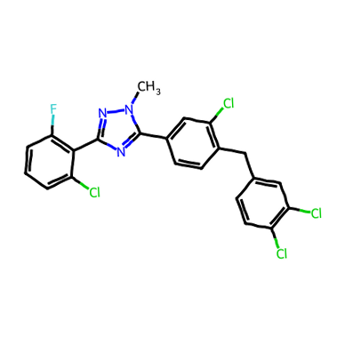 Cn1nc(-c2c(F)cccc2Cl)nc1-c1ccc(Cc2ccc(Cl)c(Cl)c2)c(Cl)c1